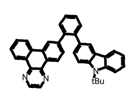 CC(C)(C)n1c2ccccc2c2cc(-c3ccccc3-c3ccc4c(c3)c3ccccc3c3nccnc43)ccc21